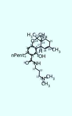 CCCCCc1cc2c(c(O)c1C(=O)NCCCN(C)C)[C@@H]1C=C(C)CC[C@H]1C(C)(C)O2